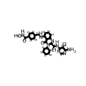 CCC(Nc1ncnc(N)c1Cl)c1nc2cccc(NCc3ccc(C(=O)NO)cc3)c2c(=O)n1-c1ccccc1